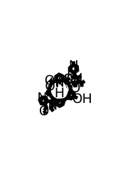 CCn1c(-c2cnccc2COC)c2c3cc(ccc31)-c1cc(O)cc(c1)C[C@H](NC(=O)C(C(C)C)N(C)C(=O)C1CCN(C)CC1)C(=O)N1CCC[C@H](N1)C(=O)OCC(C)(C)C2